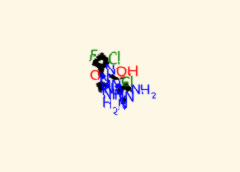 Nc1nc(N)c(Cl)c(N[C@@H](CO)c2nc3c(Cl)cc(F)cc3c(=O)n2-c2cc[nH]n2)n1